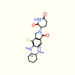 CNC1CCCC[C@@H]1N(C)c1ccc2c(c1F)CN(C1CCC(=O)NC1=O)C2=O